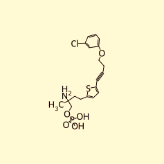 CC(N)(CCc1ccc(C#CCCOc2cccc(Cl)c2)s1)COP(=O)(O)O